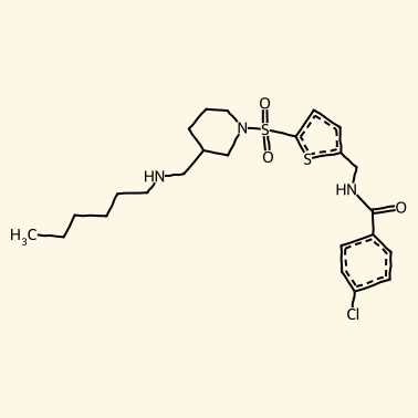 CCCCCCNCC1CCCN(S(=O)(=O)c2ccc(CNC(=O)c3ccc(Cl)cc3)s2)C1